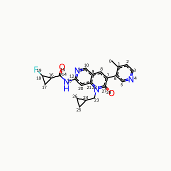 Cc1ccncc1-c1cc2cnc(NC(=O)C3CC3F)cc2n(CC2CC2)c1=O